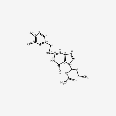 CCCC(OC(C)=O)n1cnc2nc(NCc3ccc(Cl)c(Cl)c3)[nH]c(=O)c21